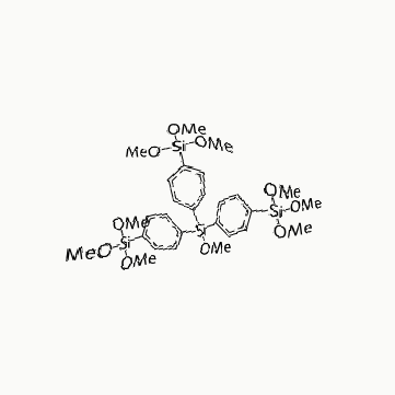 CO[Si](OC)(OC)c1ccc([Si](OC)(c2ccc([Si](OC)(OC)OC)cc2)c2ccc([Si](OC)(OC)OC)cc2)cc1